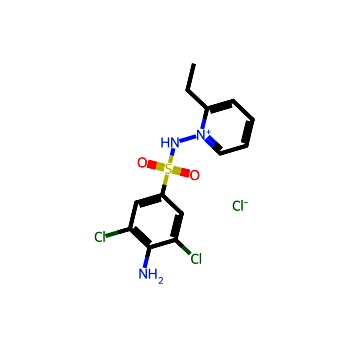 CCc1cccc[n+]1NS(=O)(=O)c1cc(Cl)c(N)c(Cl)c1.[Cl-]